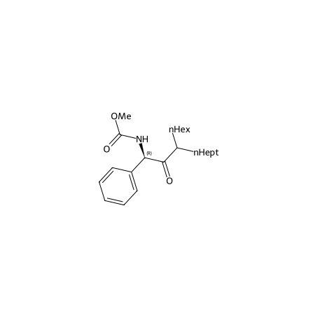 CCCCCCCC(CCCCCC)C(=O)[C@H](NC(=O)OC)c1ccccc1